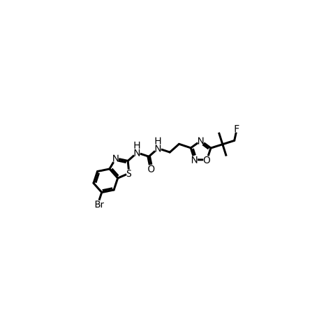 CC(C)(CF)c1nc(CCNC(=O)Nc2nc3ccc(Br)cc3s2)no1